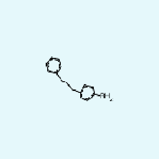 Bc1ccc(CCCc2ccccc2)cc1